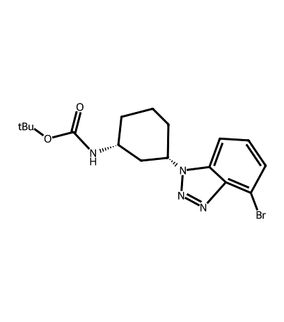 CC(C)(C)OC(=O)N[C@@H]1CCC[C@H](n2nnc3c(Br)cccc32)C1